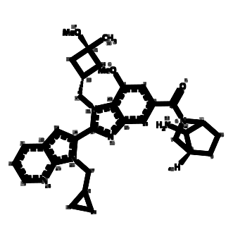 COc1cc(C(=O)N2C[C@H]3CCC2C3N)cc2nc(-c3cc4cccnc4n3CC3CC3)n(C[C@H]3C[C@](C)(OC)C3)c12